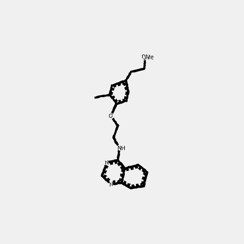 COCCc1ccc(OCCNc2ncnc3ccccc23)c(C)c1